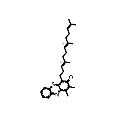 CC(C)=CCC/C(C)=C/CC/C(C)=C/CCc1c2sc3ccccc3nc-2c(C)c(C)c1=O